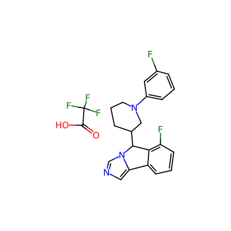 Fc1cccc(N2CCCC(C3c4c(F)cccc4-c4cncn43)C2)c1.O=C(O)C(F)(F)F